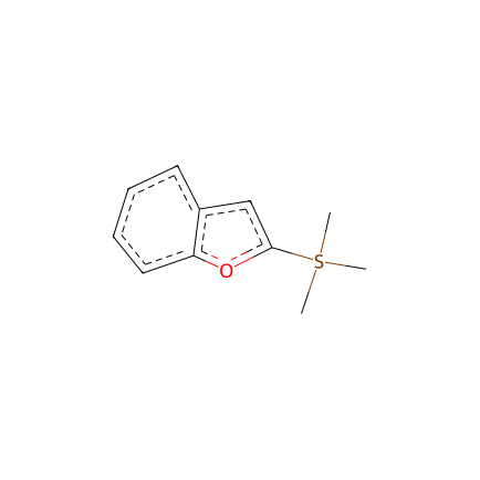 CS(C)(C)c1cc2ccccc2o1